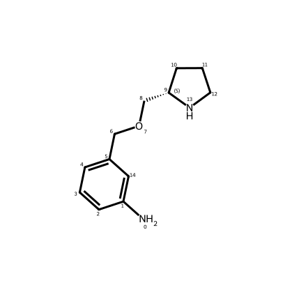 Nc1cccc(COC[C@@H]2CCCN2)c1